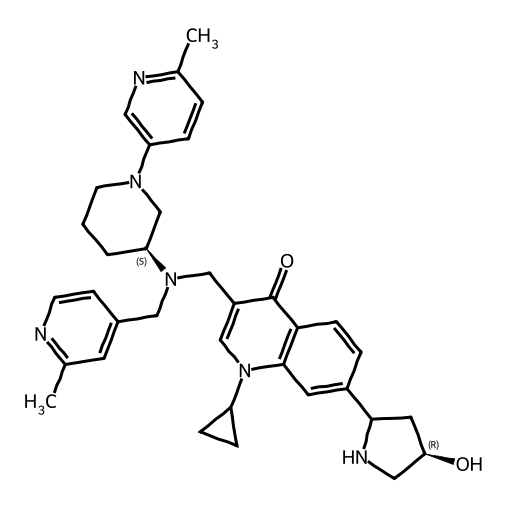 Cc1ccc(N2CCC[C@H](N(Cc3ccnc(C)c3)Cc3cn(C4CC4)c4cc(C5C[C@@H](O)CN5)ccc4c3=O)C2)cn1